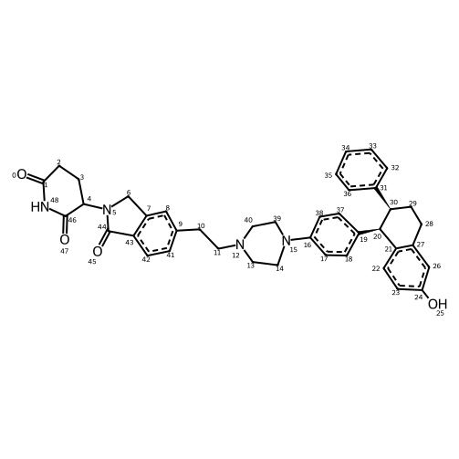 O=C1CCC(N2Cc3cc(CCN4CCN(c5ccc([C@@H]6c7ccc(O)cc7CC[C@@H]6c6ccccc6)cc5)CC4)ccc3C2=O)C(=O)N1